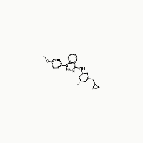 COc1ccc(-c2nnc(N[C@@H]3C[C@@H](F)CN(CC4CC4)C3)c3ccccc23)cc1